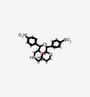 O=[N+]([O-])c1ccc(C(OC(c2ccc([N+](=O)[O-])cc2)C2CNCCO2)C2CNCCO2)cc1